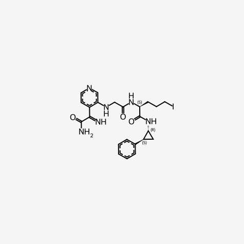 N=C(C(N)=O)c1ccncc1NCC(=O)N[C@@H](CCCI)C(=O)N[C@@H]1C[C@H]1c1ccccc1